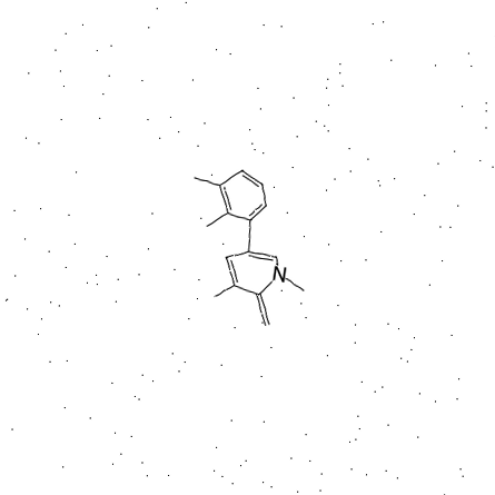 C=C1C(C)=CC(c2cccc(C)c2C)=CN1C